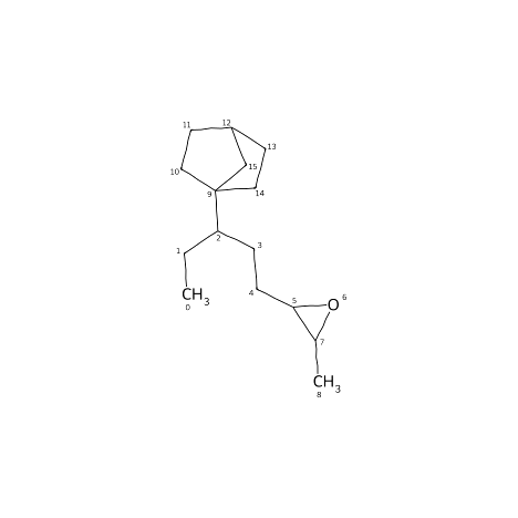 CCC(CCC1OC1C)C12CCC(CC1)C2